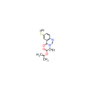 C=C(C)OC(=O)[C@H](CC)n1cnc2ccc(SCCC)cc2c1=O